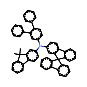 CC1(C)c2ccccc2-c2ccc(N(c3ccc(-c4ccccc4)c(-c4ccccc4)c3)c3ccc4c(c3)C3(c5ccccc5-c5ccccc53)c3ccccc3-4)cc21